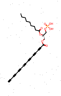 C#CC#CC#CC#CC#CC#CC#CC(=O)OC[C@@H](COP(=O)(O)O)OC(=O)CCCCCCCC